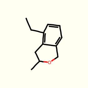 CCc1cccc2c1CC(C)OC2